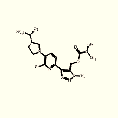 CCCN(C)C(=O)OCc1c(-c2ccc(N3CC[C@@H]([C@H](CC)C(=O)O)C3)c(CC)n2)nnn1C